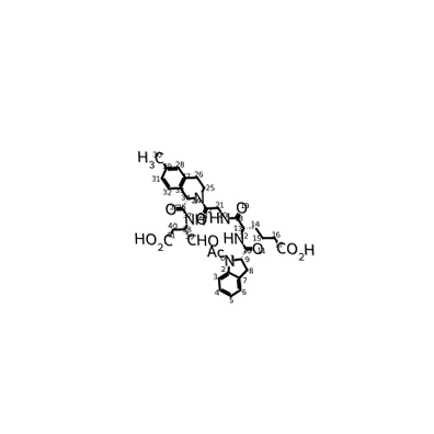 CC(=O)N1c2ccccc2C[C@H]1C(=O)N[C@@H](CCCC(=O)O)C(=O)NCC(=O)N1CCc2cc(C)ccc2[C@H]1C(=O)N[C@H](C=O)CC(=O)O